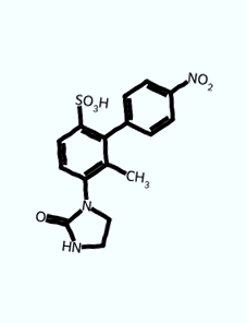 Cc1c(N2CCNC2=O)ccc(S(=O)(=O)O)c1-c1ccc([N+](=O)[O-])cc1